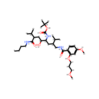 CCCCNC(=O)C(CC(O)C(CC(CNC(=O)c1ccc(OC)cc1OCCCOC)C(C)C)NC(=O)OC(C)(C)C)C(C)C